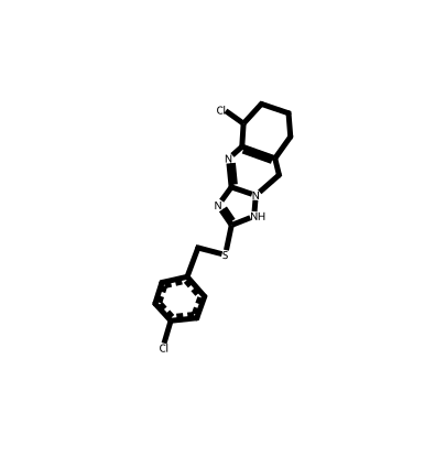 Clc1ccc(CSC2=NC3=NC4=C(CCCC4Cl)CN3N2)cc1